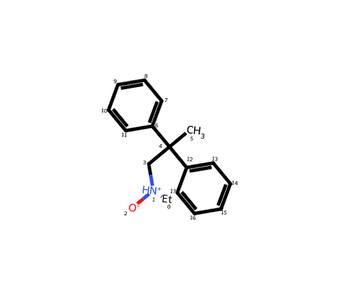 CC[NH+]([O-])CC(C)(c1ccccc1)c1ccccc1